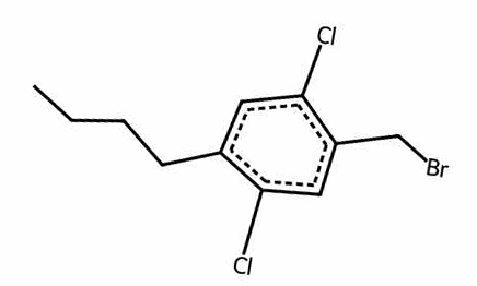 CCCCc1cc(Cl)c(CBr)cc1Cl